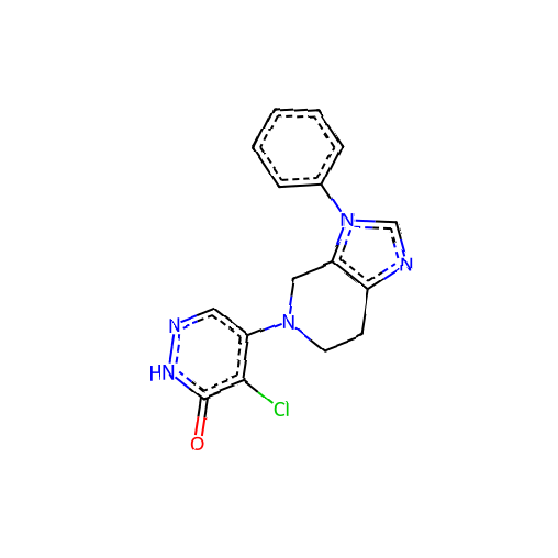 O=c1[nH]ncc(N2CCc3ncn(-c4ccccc4)c3C2)c1Cl